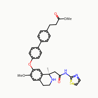 COC(=O)CCc1ccc(-c2ccc(Oc3cc4c(cc3OC)CCN[C@]4(C)CC(=O)Nc3nccs3)cc2)cc1